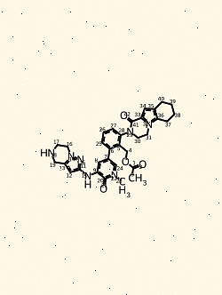 CC(=O)OCc1c(-c2cc(Nc3cc4n(n3)CCNC4)c(=O)n(C)c2)cccc1N1CCn2c(cc3c2CCCC3)C1=O